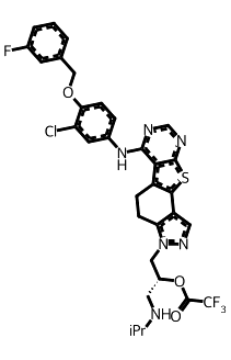 CC(C)NC[C@H](Cn1ncc2c1CCc1c-2sc2ncnc(Nc3ccc(OCc4cccc(F)c4)c(Cl)c3)c12)OC(=O)C(F)(F)F